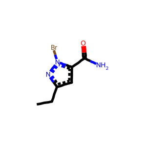 CCc1cc(C(N)=O)n(Br)n1